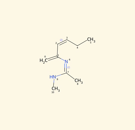 C=C(/C=C\CC)/N=C(/C)NC